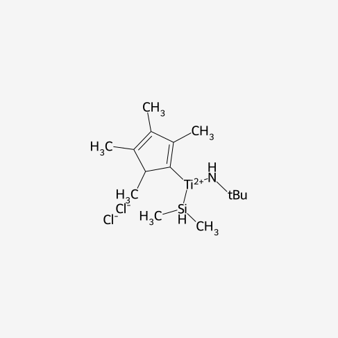 CC1=C(C)C(C)[C]([Ti+2]([NH]C(C)(C)C)[SiH](C)C)=C1C.[Cl-].[Cl-]